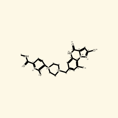 CNC(=O)c1ccc(N2CCN(Cc3cc(F)c4c(c3)[nH]c(=O)c3cc(Cl)nn34)CC2)c(F)n1